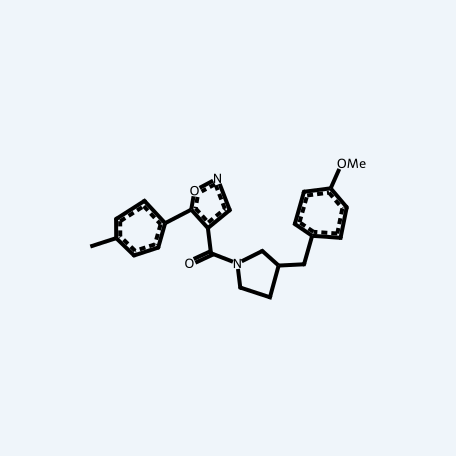 COc1ccc(CC2CCN(C(=O)c3cnoc3-c3ccc(C)cc3)C2)cc1